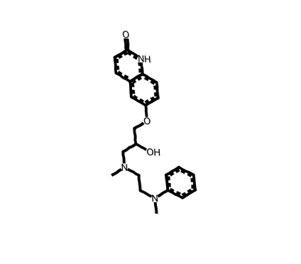 CN(CCN(C)c1ccccc1)CC(O)COc1ccc2[nH]c(=O)ccc2c1